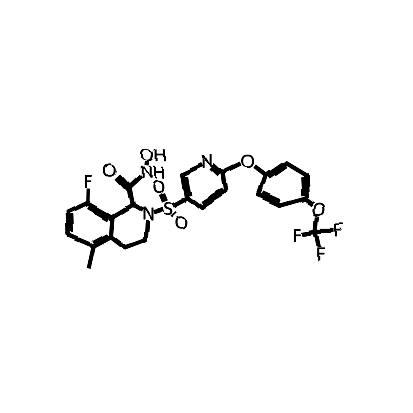 Cc1ccc(F)c2c1CCN(S(=O)(=O)c1ccc(Oc3ccc(OC(F)(F)F)cc3)nc1)C2C(=O)NO